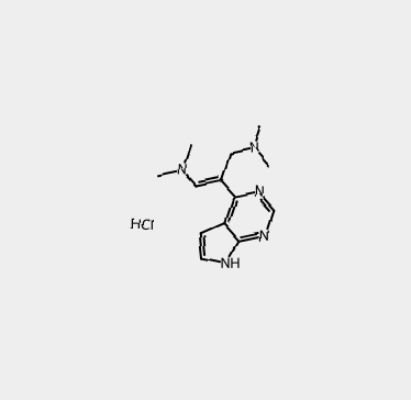 CN(C)C=C(CN(C)C)c1ncnc2[nH]ccc12.Cl